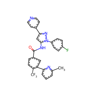 Cc1cccc(-c2cc(C(=O)Nc3cc(-c4ccncc4)nn3-c3ccc(F)cc3)ccc2C(F)(F)F)n1